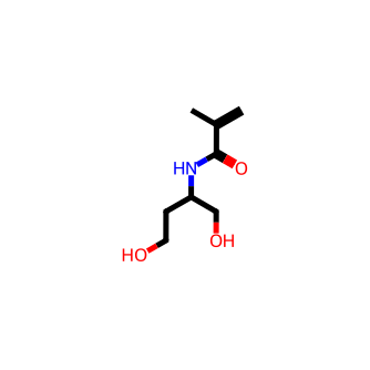 C=C(C)C(=O)NC(CO)CCO